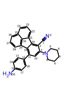 N#Cc1c(N2CCCCC2)cc(-c2ccc(N)cc2)c2c1-c1cccc3cccc-2c13